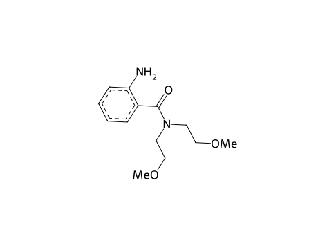 COCCN(CCOC)C(=O)c1ccccc1N